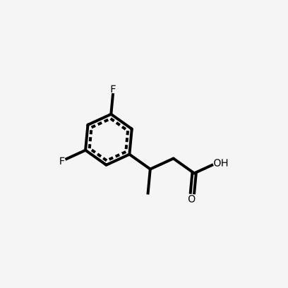 CC(CC(=O)O)c1cc(F)cc(F)c1